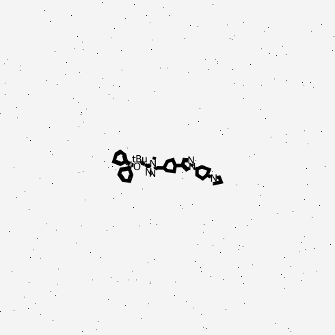 Cn1c(CO[Si](c2ccccc2)(c2ccccc2)C(C)(C)C)nnc1C1CCC(c2cnn(C3CCC(N4CCC4)CC3)c2)CC1